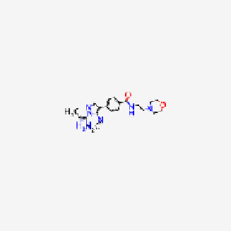 C=Nc1c(-c2ccc(C(=O)NCCN3CCOCC3)cc2)cnn1/C(N)=C\C